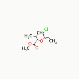 CC=C(CCl)OC(C(=O)OC)C(C)C